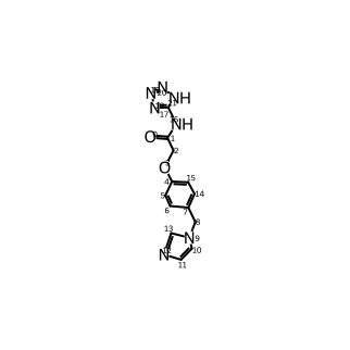 O=C(COc1ccc(Cn2ccnc2)cc1)Nc1nnn[nH]1